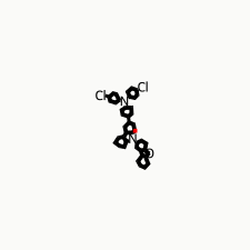 Clc1ccc(N(c2ccc(Cl)cc2)c2ccc(-c3ccc4c(c3)c3ccccc3n4-c3ccc4oc5ccccc5c4c3)cc2)cc1